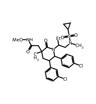 CCC(CN(C)S(=O)(=O)C1CC1)N1C(=O)C(C)(CC(=O)NOC)CC(c2cccc(Cl)c2)C1c1ccc(Cl)cc1